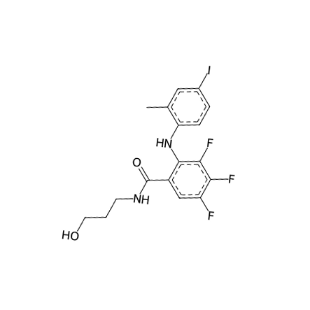 Cc1cc(I)ccc1Nc1c(C(=O)NCCCO)cc(F)c(F)c1F